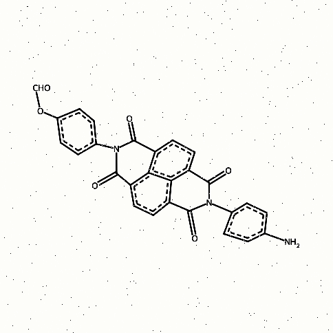 Nc1ccc(N2C(=O)c3ccc4c5c(ccc(c35)C2=O)C(=O)N(c2ccc(OC=O)cc2)C4=O)cc1